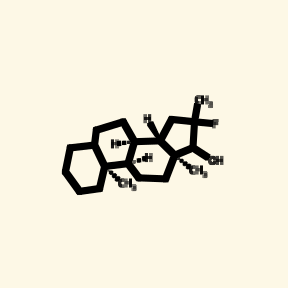 CC1(F)C[C@H]2[C@@H]3CCC4CCCC[C@]4(C)[C@@H]3CC[C@]2(C)C1O